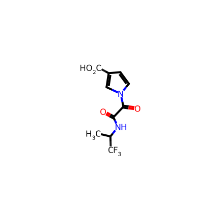 CC(NC(=O)C(=O)n1ccc(C(=O)O)c1)C(F)(F)F